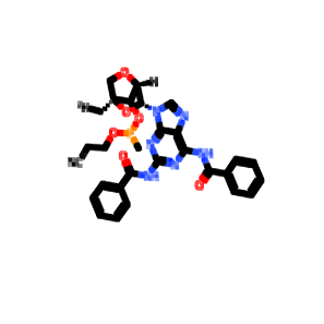 [2H]C[C@]12CO[C@@H](C1OP(C)OCCC#N)[C@H](n1cnc3c(NC(=O)c4ccccc4)nc(NC(=O)c4ccccc4)nc31)O2